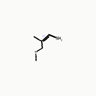 CSC/C(C)=C\N